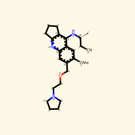 COc1cc2c(N[C@H](C)CC#N)c3c(nc2cc1COCCN1CCCC1)CCC3